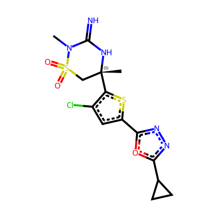 CN1C(=N)N[C@](C)(c2sc(-c3nnc(C4CC4)o3)cc2Cl)CS1(=O)=O